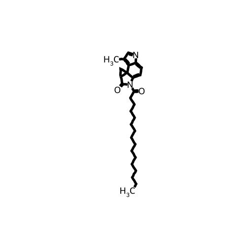 CCCCCCCCCCCCCCCC(=O)N1C(=O)C2CC23C1=CC=C1N=CC(C)=C13